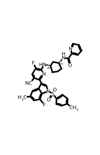 Cc1ccc(S(=O)(=O)n2cc(-c3nc(N[C@@H]4CCC[C@H](NC(=O)c5ccccn5)C4)c(F)cc3C#N)c3cc(C)cc(F)c32)cc1